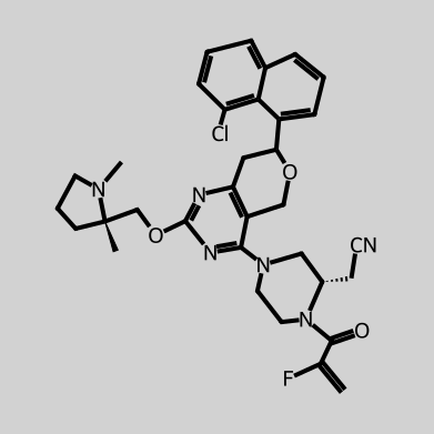 C=C(F)C(=O)N1CCN(c2nc(OC[C@]3(C)CCCN3C)nc3c2COC(c2cccc4cccc(Cl)c24)C3)C[C@@H]1CC#N